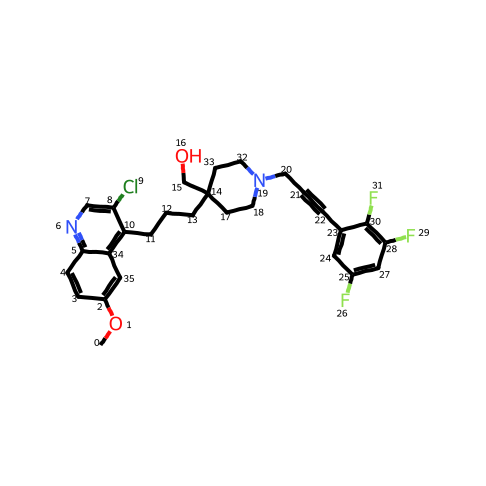 COc1ccc2ncc(Cl)c(CCCC3(CO)CCN(CC#Cc4cc(F)cc(F)c4F)CC3)c2c1